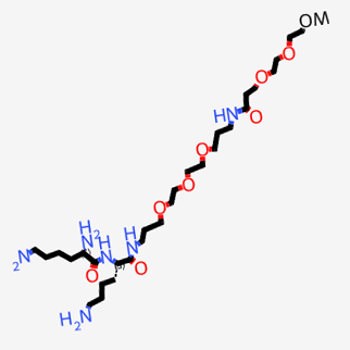 COCCOCCOCCC(=O)NCCCOCCOCCOCCCNC(=O)[C@H](CCCCN)NC(=O)[C@@H](N)CCCCN